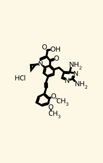 COc1cccc(C#Cc2cc(Cc3cnc(N)nc3N)c3c(=O)c(C(=O)O)cn(C4CC4)c3c2)c1OC.Cl